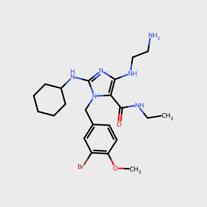 CCNC(=O)c1c(NCCN)nc(NC2CCCCC2)n1Cc1ccc(OC)c(Br)c1